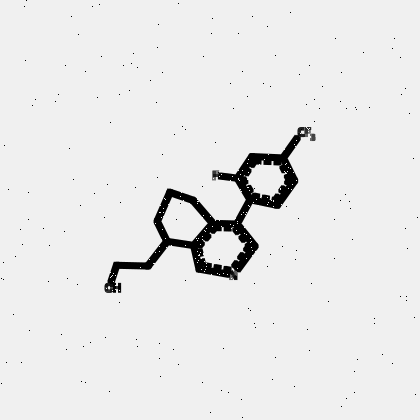 OCCC1CCCc2c(-c3ccc(C(F)(F)F)cc3F)cncc21